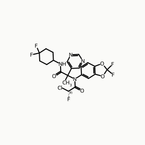 CC(C(=O)NC1CCC(F)(F)CC1)(c1cncnc1)N(C(=O)[C@H](F)Cl)c1ccc2c(c1)OC(F)(F)O2